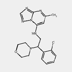 Cc1cc(NCC(c2ccccc2Cl)N2CCOCC2)n2ncnc2n1